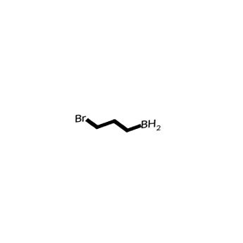 BCCCBr